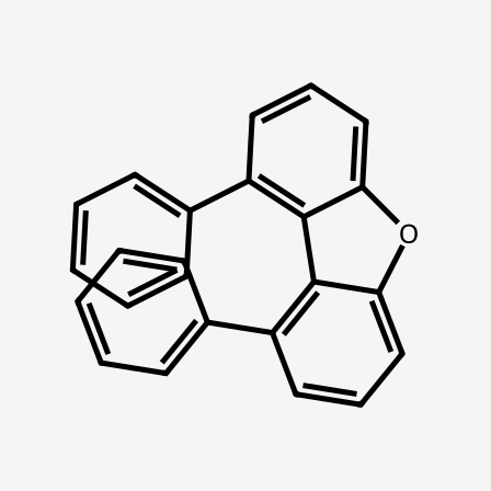 c1ccc(-c2cccc3oc4cccc(-c5ccccc5)c4c23)cc1